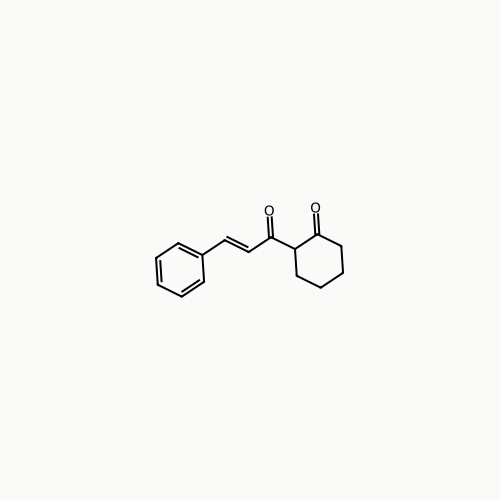 O=C(/C=C/c1ccccc1)C1CCCCC1=O